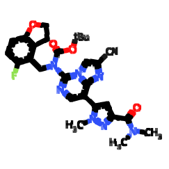 CN(C)C(=O)c1cc(-c2cnc(N(Cc3c(F)ccc4c3CCO4)C(=O)OC(C)(C)C)n3cc(C#N)nc23)n(C)n1